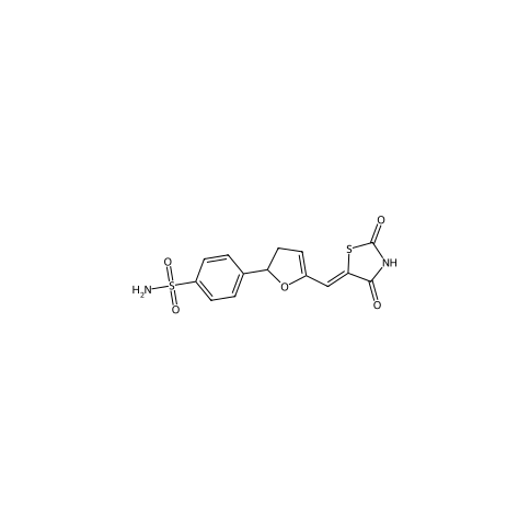 NS(=O)(=O)c1ccc(C2CC=C(/C=C3\SC(=O)NC3=O)O2)cc1